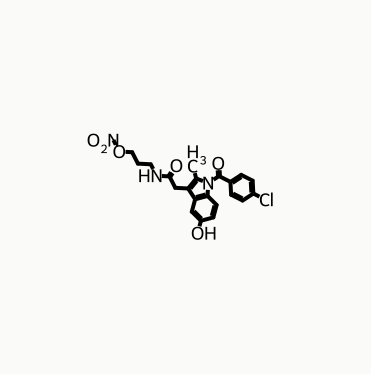 Cc1c(CC(=O)NCCCO[N+](=O)[O-])c2cc(O)ccc2n1C(=O)c1ccc(Cl)cc1